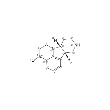 [O-][S+]1CCN2c3c(cccc31)[C@H]1CNCC[C@H]12